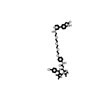 Cc1sc2c(c1C)C(c1ccc(Cl)cc1)=N[C@@H](CC(=O)Nc1ccc(OCCOCCOCCOCCNc3cc(-c4ccc5c(c4)CC(=O)N5)ccn3)cc1)c1nnc(C)n1-2